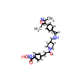 Cc1noc(C)c1-c1ccc(C2CC2NCC2CCN(C(=O)/C=C/c3ccc(C(=O)NO)cc3)CC2)cc1